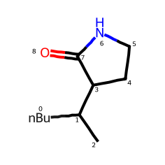 CCCCC(C)C1CCNC1=O